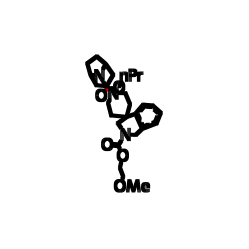 CCCOC(=O)N1C2CCC1CC(N1CCC3(CC1)CN(C(=O)OCCOC)Cc1ccccc13)C2